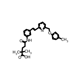 Cc1ccc(OCc2cccc(/C=C/c3cccc(NC(=O)CCC(C)(C)C(=O)O)c3)n2)cc1